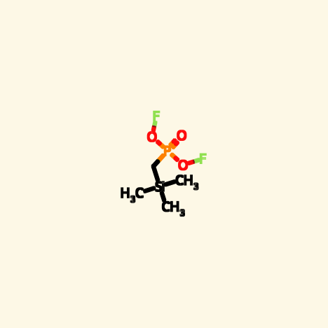 C[Si](C)(C)CP(=O)(OF)OF